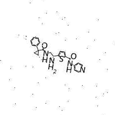 NC(CNC(=O)C1(c2ccccc2)CC1)c1ccc(C(=O)Nc2ccncc2)s1